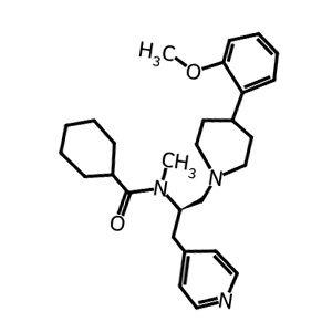 COc1ccccc1C1CCN(C[C@@H](Cc2ccncc2)N(C)C(=O)C2CCCCC2)CC1